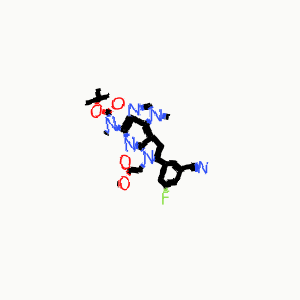 COC(=O)Cn1c(-c2cc(F)cc(C#N)c2)cc2c3c(ncn3C)c(N(C)C(=O)OC(C)(C)C)nc21